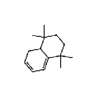 CC1(C)CCC(C)(C)C2CC=CC=C21